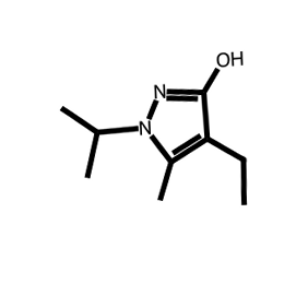 CCc1c(O)nn(C(C)C)c1C